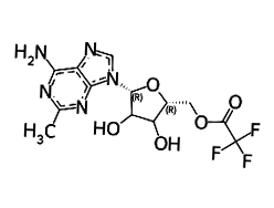 Cc1nc(N)c2ncn([C@@H]3O[C@H](COC(=O)C(F)(F)F)C(O)C3O)c2n1